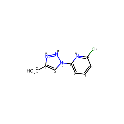 O=C(O)c1cn(-c2cccc(Cl)n2)nn1